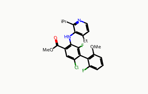 CCc1ccnc(C(C)C)c1Nc1c(C(=O)OC)cc(Cl)c(-c2c(F)cccc2OC)c1F